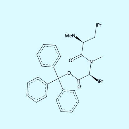 CN[C@@H](CC(C)C)C(=O)N(C)[C@H](C(=O)OC(c1ccccc1)(c1ccccc1)c1ccccc1)C(C)C